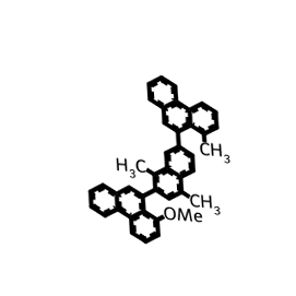 COc1cccc2c1c(-c1cc(C)c3ccc(-c4cc5ccccc5c5cccc(C)c45)cc3c1C)cc1ccccc12